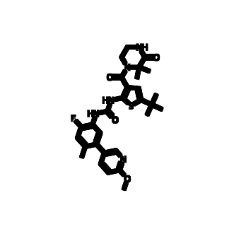 COc1ccc(-c2cc(NC(=O)Nc3sc(C(C)(C)C)cc3C(=O)N3CCNC(=O)C3(C)C)c(F)cc2C)cn1